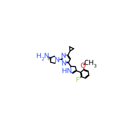 COc1cccc(F)c1C1=CNC(c2cc(C3CC3)nc(N3CC[C@@H](N)C3)n2)C1